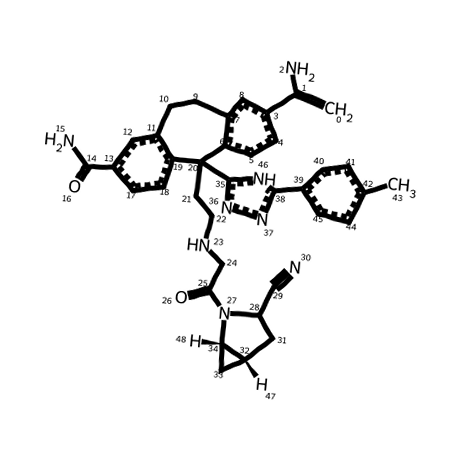 C=C(N)c1ccc2c(c1)CCc1cc(C(N)=O)ccc1C2(CCNCC(=O)N1C(C#N)C[C@@H]2C[C@@H]21)c1nnc(-c2ccc(C)cc2)[nH]1